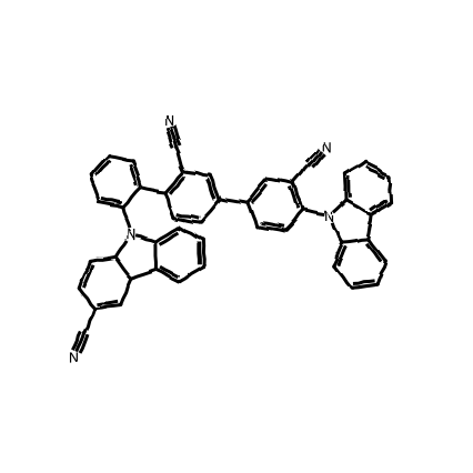 N#CC1=CC2c3ccccc3N(c3ccccc3-c3ccc(-c4ccc(-n5c6ccccc6c6ccccc65)c(C#N)c4)cc3C#N)C2C=C1